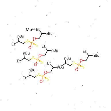 CCCCC(CC)COP([O-])(=S)SCC(CC)CCCC.CCCCC(CC)COP([O-])(=S)SCC(CC)CCCC.CCCCC(CC)COP([O-])(=S)SCC(CC)CCCC.CCCCC(CC)COP([O-])(=S)SCC(CC)CCCC.[Mo+4]